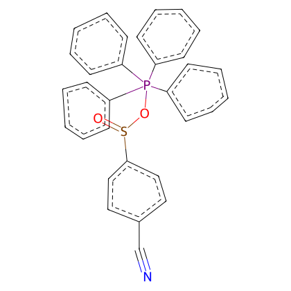 N#Cc1ccc(S(=O)OP(c2ccccc2)(c2ccccc2)(c2ccccc2)c2ccccc2)cc1